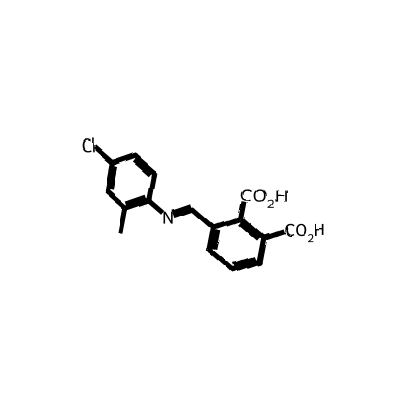 Cc1cc(Cl)ccc1N=Cc1cccc(C(=O)O)c1C(=O)O